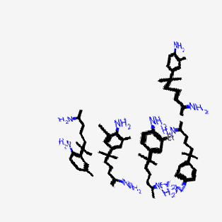 CC(N)CCCC(C)(C)c1ccc(N)cc1.CCc1cc(C(C)(C)CCCC(C)N)ccc1N.Cc1cc(C(C)(C)CCCC(C)N)cc(C)c1N.Cc1cc(C(C)(C)CCCC(C)N)ccc1N.Cc1ccc(N)c(C(C)(C)CCCC(C)N)c1